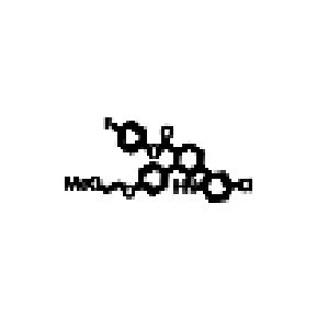 COCCOc1ccc(C2c3[nH]c4ccc(Cl)cc4c3CCC2C(=O)Oc2ccc(F)cc2)cc1